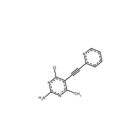 Cc1nc(N)nc(Cl)c1C#Cc1ccccn1